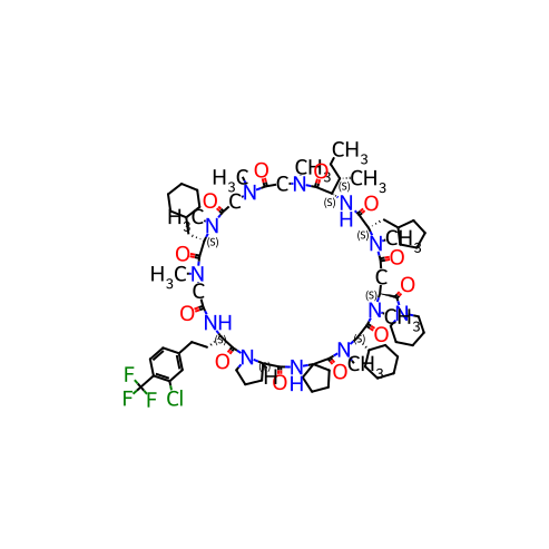 CC[C@H](C)[C@@H]1NC(=O)[C@H](CC2CCCC2)N(C)C(=O)C[C@@H](C(=O)N2CCCCC2)N(C)C(=O)[C@H](C2CCCCC2)N(C)C(=O)C2(CCCC2)NC(=O)[C@@H]2CCCN2C(=O)[C@H](CCc2ccc(C(F)(F)F)c(Cl)c2)NC(=O)CN(C)C(=O)[C@H](CC2CCCCC2)N(C)C(=O)CN(C)C(=O)CN(C)C1=O